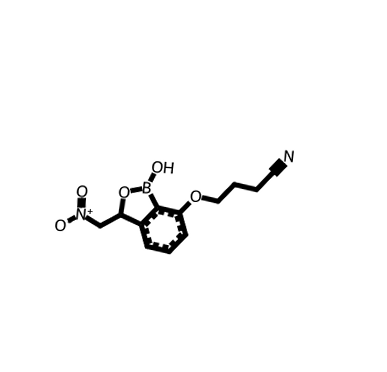 N#CCCCOc1cccc2c1B(O)OC2C[N+](=O)[O-]